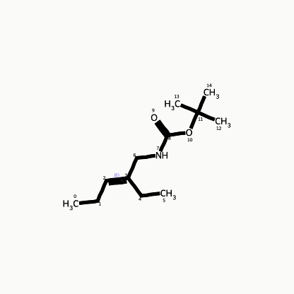 CC/C=C(\CC)CNC(=O)OC(C)(C)C